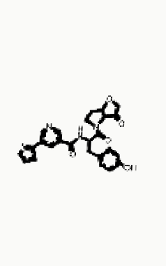 O=C(NC(Cc1ccc(O)cc1)C(=O)N1CCC2OCC(=O)C21)c1cncc(-c2cccs2)c1